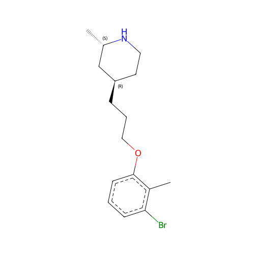 Cc1c(Br)cccc1OCCC[C@@H]1CCN[C@@H](C)C1